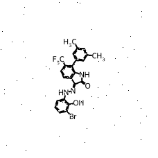 Cc1cc(C)cc(-c2c(C(F)(F)F)ccc3c2NC(=O)C3=NNc2cccc(Br)c2O)c1